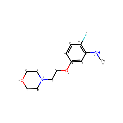 CC(C)Nc1cc(OCCN2CCOCC2)ccc1F